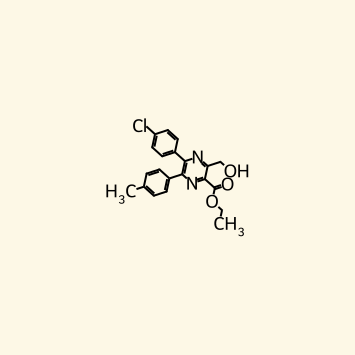 CCOC(=O)c1nc(-c2ccc(C)cc2)c(-c2ccc(Cl)cc2)nc1CO